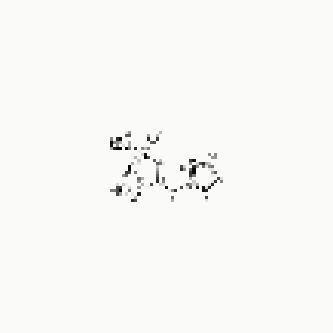 CC(C)(C)S(=O)(=O)CC(Cc1cccs1)C(=O)O